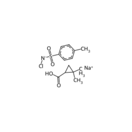 CC1(C)CC1C(=O)O.Cc1ccc(S(=O)(=O)[N-]Cl)cc1.[Na+]